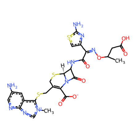 CC(CC(=O)O)O/N=C(\C(=O)NC1C(=O)N2C(C(=O)[O-])=C(CSc3c4cc(N)cnc4nc[n+]3C)CS[C@@H]12)c1csc(N)n1